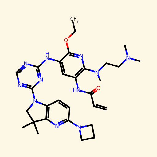 C=CC(=O)Nc1cc(Nc2ncnc(N3CC(C)(C)c4nc(N5CCC5)ccc43)n2)c(OCC(F)(F)F)nc1N(C)CCN(C)C